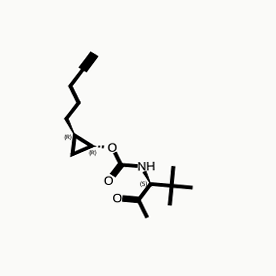 C#CCCC[C@@H]1C[C@H]1OC(=O)N[C@H](C(C)=O)C(C)(C)C